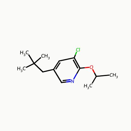 CC(C)Oc1ncc(CC(C)(C)C)cc1Cl